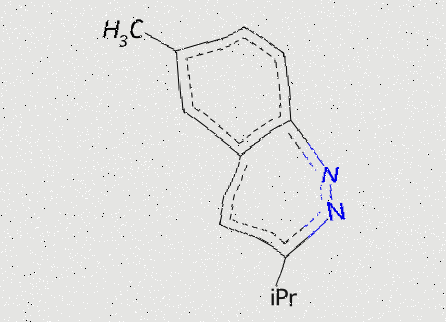 Cc1ccc2nnc(C(C)C)cc2c1